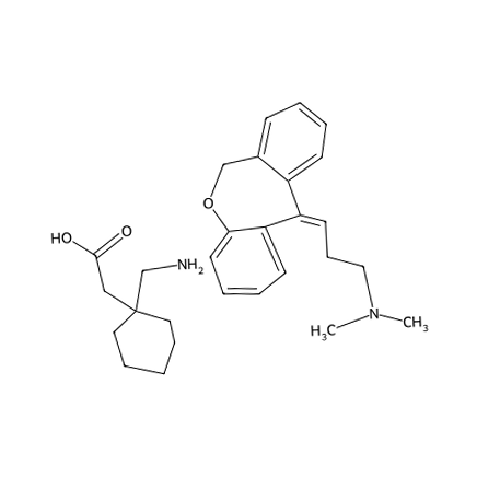 CN(C)CCC=C1c2ccccc2COc2ccccc21.NCC1(CC(=O)O)CCCCC1